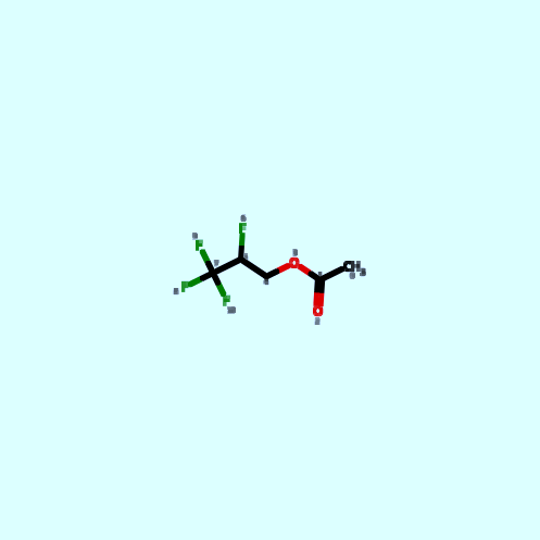 CC(=O)OCC(F)C(F)(F)F